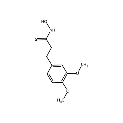 COc1ccc(CCC(=S)NO)cc1OC